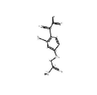 C=C(C)C(=O)c1ccc(OCC(=O)O)cc1Cl